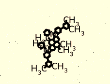 Cc1cc(C)cc(C2=Cc3c(n(-c4ccccc4)c4c5c6c(cc34)C(C)C(C)c3cc4c7cc(-c8cc(C)cc(C)c8)ccc7n(-c7ccccc7)c4c(c3-6)C(C)C5C)CC2)c1